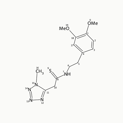 COc1ccc(CCNC(=S)Cc2nnnn2C)cc1OC